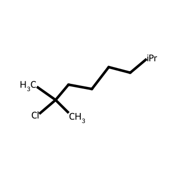 CC(C)CCCCC(C)(C)Cl